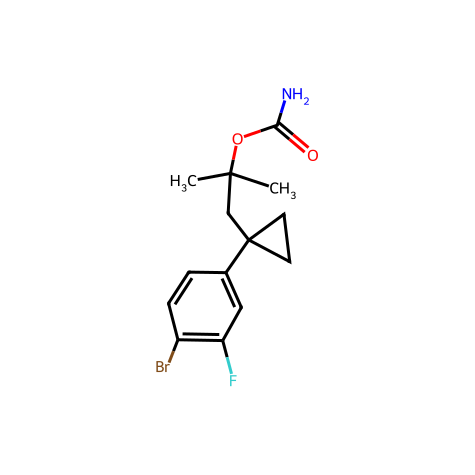 CC(C)(CC1(c2ccc(Br)c(F)c2)CC1)OC(N)=O